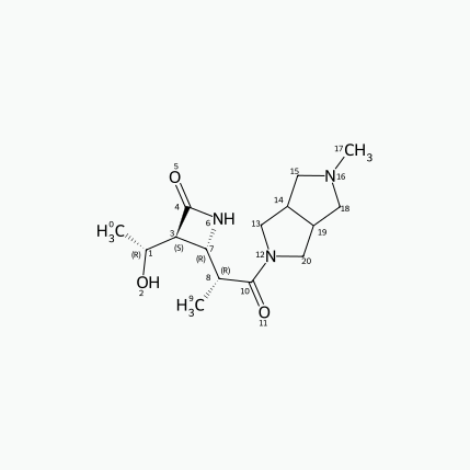 C[C@@H](O)[C@H]1C(=O)N[C@@H]1[C@@H](C)C(=O)N1CC2CN(C)CC2C1